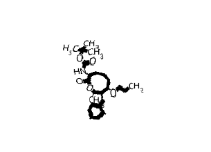 CCCO[C@H]1CCC[C@H](NC(=O)OC(C)(C)C)C(=O)O[C@@H](C)[C@@H]1Cc1ccccc1